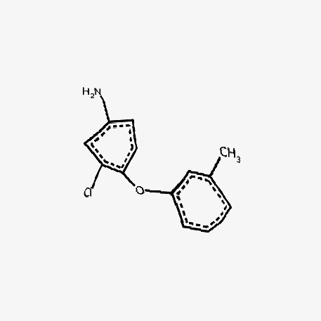 Cc1cccc(Oc2ccc(N)cc2Cl)c1